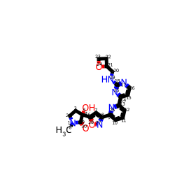 CN1CCC(O)(c2cc(-c3cccc(-c4ccnc(NCC5CCO5)n4)n3)no2)C1=O